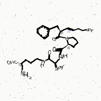 CC(C)CC/C=C/[C@H](Cc1ccccc1)C(=O)N1CCC[C@H]1C(=O)NC(C(=O)NCCC[C@H](N)C=O)C(C)C